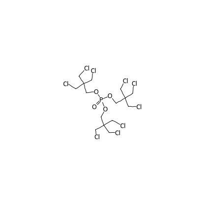 O=P(OCC(CCl)(CCl)CCl)(OCC(CCl)(CCl)CCl)OCC(CCl)(CCl)CCl